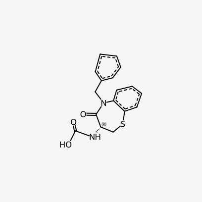 O=C(O)N[C@H]1CSc2ccccc2N(Cc2ccccc2)C1=O